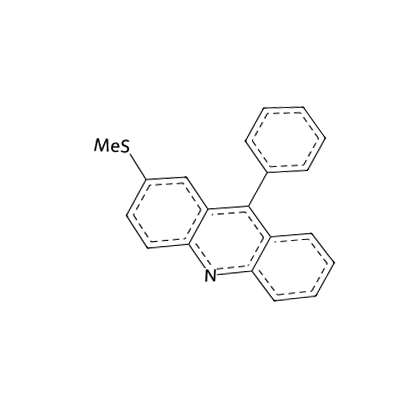 CSc1ccc2nc3ccccc3c(-c3ccccc3)c2c1